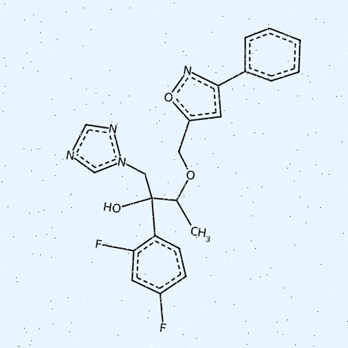 CC(OCc1cc(-c2ccccc2)no1)C(O)(Cn1cncn1)c1ccc(F)cc1F